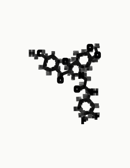 Cc1ccc(C(=O)c2cn(CC(=O)Nc3ccc(F)c(F)c3)c3cc4c(cc3c2=O)OCO4)cc1